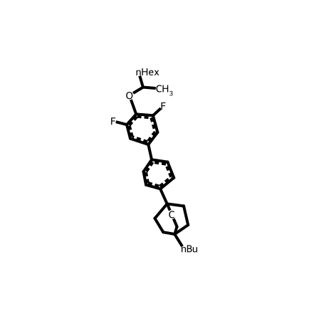 CCCCCCC(C)Oc1c(F)cc(-c2ccc(C34CCC(CCCC)(CC3)CC4)cc2)cc1F